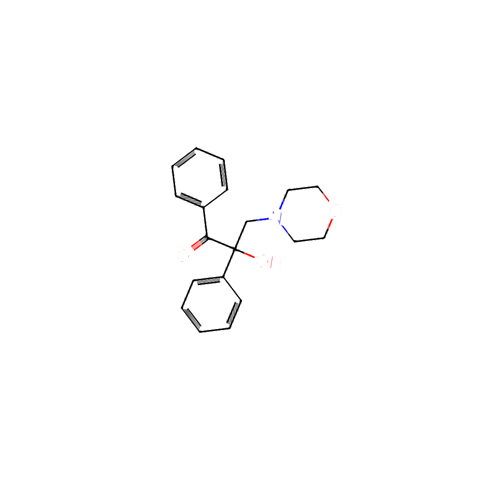 O=C(c1ccccc1)C(O)(CN1CCOCC1)c1ccccc1